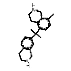 Cc1ccc(C(C)(C)c2ccc3c(c2)CNCC3)c2c1CNCC2